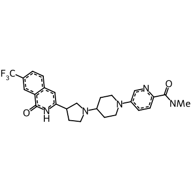 CNC(=O)c1ccc(N2CCC(N3CCC(c4cc5ccc(C(F)(F)F)cc5c(=O)[nH]4)C3)CC2)cn1